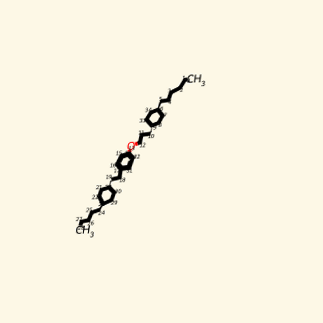 CCCCCC[C@H]1CC[C@H](CCCOc2ccc(CC[C@H]3CC[C@H](CCCCC)CC3)cc2)CC1